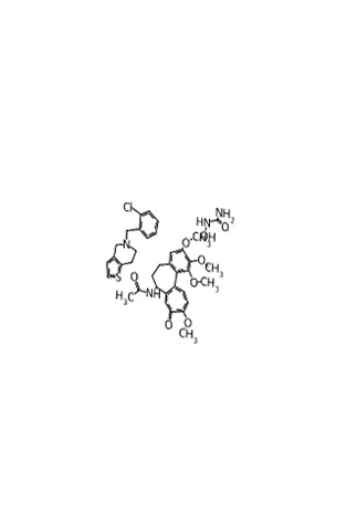 COc1cc2c(c(OC)c1OC)-c1ccc(OC)c(=O)cc1[C@@H](NC(C)=O)CC2.Clc1ccccc1CN1CCc2sccc2C1.NC(=O)NO